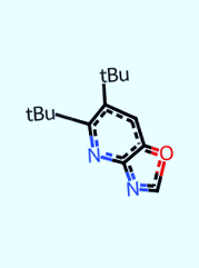 CC(C)(C)c1cc2ocnc2nc1C(C)(C)C